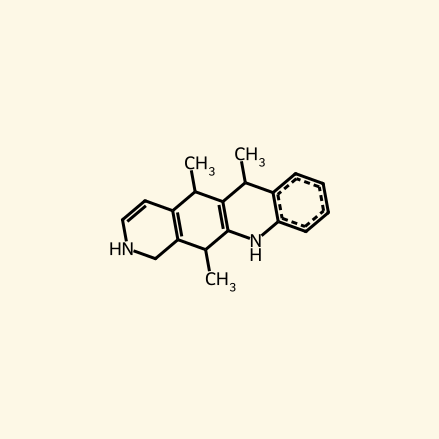 CC1C2=C(C=CNC2)C(C)C2=C1Nc1ccccc1C2C